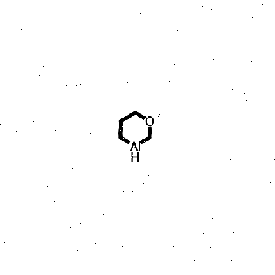 C1CO[CH2][AlH][CH2]1